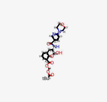 CC(C)(C)C(=O)OCOC(=O)c1cccc2c1OB(O)[C@@H](NC(=O)c1ccc(N3CCOCC3)nc1)C2